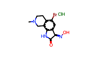 CN1CCc2c(Br)cc3c(c2C1)NC(=O)/C3=N/O.Cl